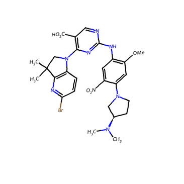 COc1cc(N2CC[C@@H](N(C)C)C2)c([N+](=O)[O-])cc1Nc1ncc(C(=O)O)c(N2CC(C)(C)c3nc(Br)ccc32)n1